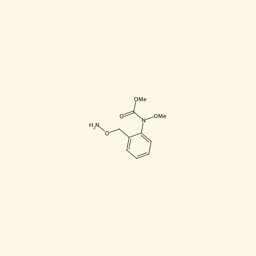 COC(=O)N(OC)c1ccccc1CON